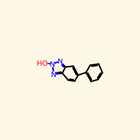 On1nc2ccc(-c3ccccc3)cc2n1